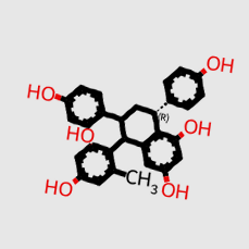 Cc1cc(O)cc(O)c1C1c2cc(O)cc(O)c2[C@@H](c2ccc(O)cc2)CC1c1ccc(O)cc1